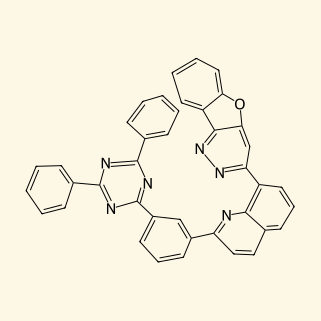 c1ccc(-c2nc(-c3ccccc3)nc(-c3cccc(-c4ccc5cccc(-c6cc7oc8ccccc8c7nn6)c5n4)c3)n2)cc1